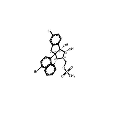 CS(=O)(=O)OC[C@@H]1[C@@H](O)[C@]2(O)c3ncc(Cl)cc3O[C@@]2(c2ccc(Br)cc2)[C@H]1c1ccccc1